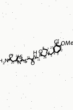 COc1ccc(CN2CCO[C@@H](CNC(=O)CSc3nc(CC(N)=O)cs3)C2)cc1Cl